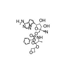 C[C@H](N[P@](=O)(OC[C@@]1(C#N)O[C@@H](c2ccc3c(N)ncnn23)[C@H](O)[C@@H]1O)Oc1ccccc1)C(=O)OC1COC1